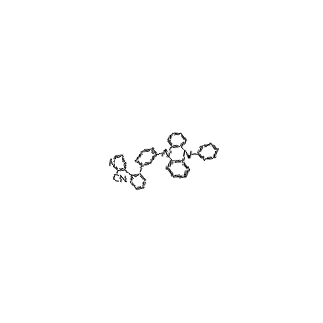 N#Cc1ncccc1-c1ccccc1-c1cccc(N2c3ccccc3N(c3ccccc3)c3ccccc32)c1